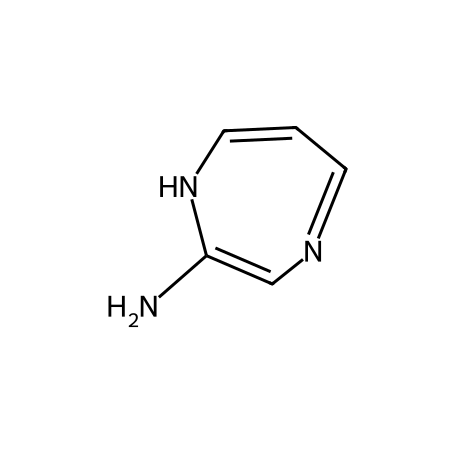 NC1=CN=CC=CN1